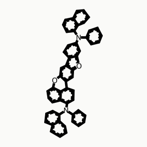 c1ccc(N(c2ccc3c(c2)oc2cc4c(cc23)Oc2cccc3c(N(c5ccccc5)c5cccc6ccccc56)ccc-4c23)c2cccc3ccccc23)cc1